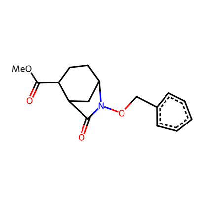 COC(=O)C1CCC2CC1C(=O)N2OCc1ccccc1